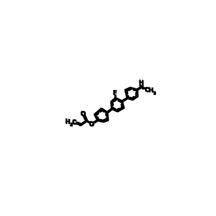 C=CC(=O)Oc1ccc(-c2ccc(-c3ccc(NC)cc3)c(F)c2)cc1